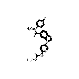 COC(=O)Nc1ccc(-n2cnc3ccc(C(=O)N(C)c4ccc(F)cc4)cc32)cn1